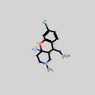 CN1CCC2(N)Oc3cc(Cl)ccc3C(CC(=O)O)C2C1